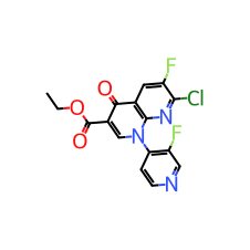 CCOC(=O)c1cn(-c2ccncc2F)c2nc(Cl)c(F)cc2c1=O